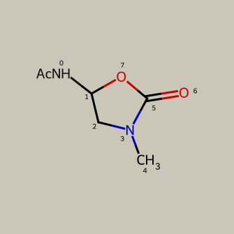 CC(=O)NC1CN(C)C(=O)O1